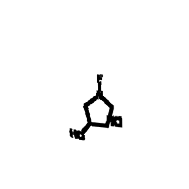 Cl.OC1CCN(F)C1